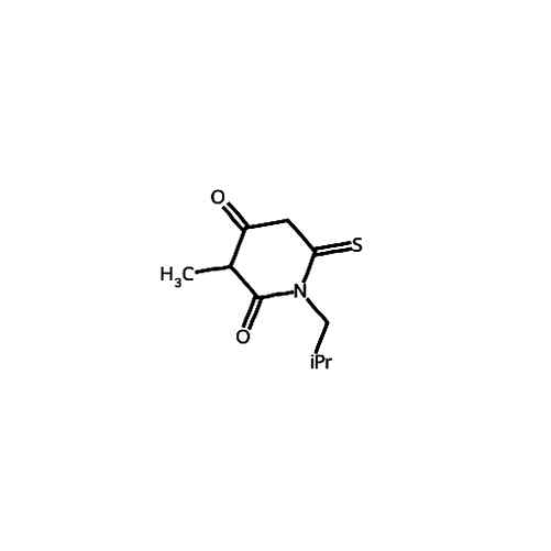 CC(C)CN1C(=O)C(C)C(=O)CC1=S